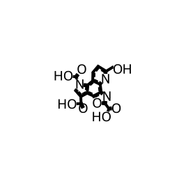 O=C(O)c1nc2c3nc(CO)ccc3c3c(c(C(=O)O)cn3C(=O)O)c2o1